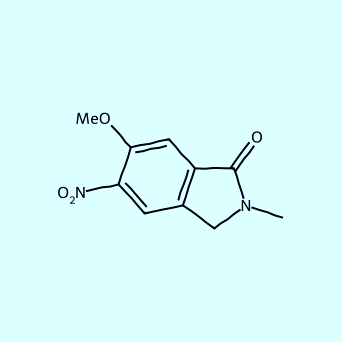 COc1cc2c(cc1[N+](=O)[O-])CN(C)C2=O